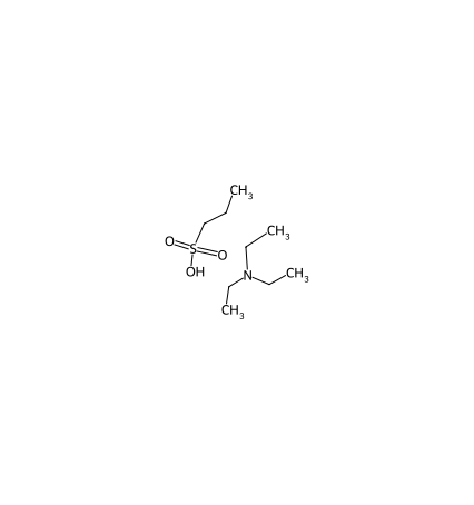 CCCS(=O)(=O)O.CCN(CC)CC